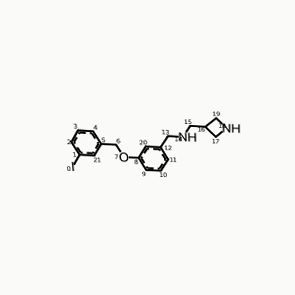 Ic1cccc(COc2cccc(CNCC3CNC3)c2)c1